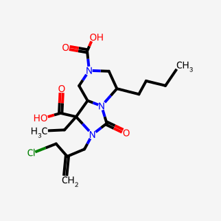 C=C(CCl)CN1C(=O)N2C(CCCC)CN(C(=O)O)CC2C1(CC)C(=O)O